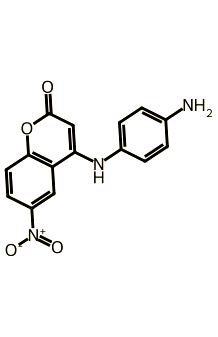 Nc1ccc(Nc2cc(=O)oc3ccc([N+](=O)[O-])cc23)cc1